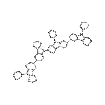 c1ccc(-n2c3ccccc3c3cc(-c4ccc5c(c4)c4ccccc4n5-c4ccc5c6ccc(-c7ccc8c(c7)c7ccccc7n8-c7ccccc7)cc6n(-c6ccccc6)c5c4)ccc32)cc1